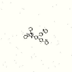 c1ccc(-c2nc(-c3ccc(-c4ccc(-c5ccccn5)cc4)c(-c4ccc(-c5ccccn5)cc4)c3)nc3c2sc2ccccc23)cc1